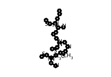 CC1(C)c2ccc(-c3cncc(-c4cccc(-c5nc(-c6ccc(-c7cccc8cc(-c9cc(-c%10cccnc%10)cc(-c%10nc(-c%11ccc(-c%12ccc%13ccccc%13c%12)cc%11)cc(-c%11ccc%12sc%13ccccc%13c%12c%11)n%10)c9)ccc78)cc6)cc(-c6ccc7sc8ccccc8c7c6)n5)c4)c3)cc2-c2ccc(-c3ccc(-c4cc(-c5ccc6sc7ccccc7c6c5)nc(-c5cccc(-c6cccnc6)c5)n4)cc3)cc21